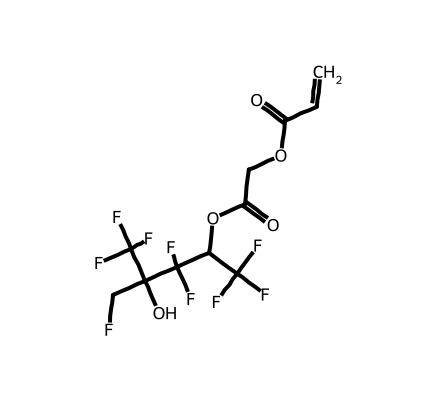 C=CC(=O)OCC(=O)OC(C(F)(F)F)C(F)(F)C(O)(CF)C(F)(F)F